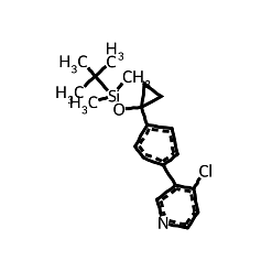 CC(C)(C)[Si](C)(C)OC1(c2ccc(-c3cnccc3Cl)cc2)CC1